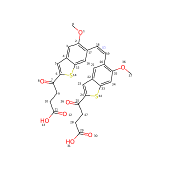 COc1cc2cc(C(=O)CCC(=O)O)sc2cc1/C=C\c1cc2cc(C(=O)CCC(=O)O)sc2cc1OC